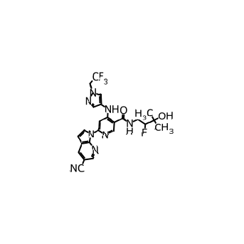 CC(C)(O)C(F)CNC(=O)c1cnc(-n2ccc3cc(C#N)cnc32)cc1Nc1cnn(CC(F)(F)F)c1